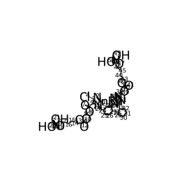 CCCCc1nc(Cl)c(C(=O)OCOC(=O)OCCCCON(O)O)n1Cc1ccc(-c2ccccc2-c2nnn(COC(=O)OCCCCON(O)O)n2)cc1